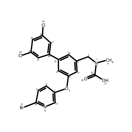 CN(Cc1cc(Oc2ccc(Br)nc2)cc(-c2cc(Cl)cc(Cl)c2)c1)C(=O)O